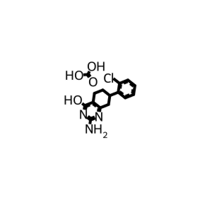 Nc1nc(O)c2c(n1)CC(c1ccccc1Cl)CC2.O=C(O)O